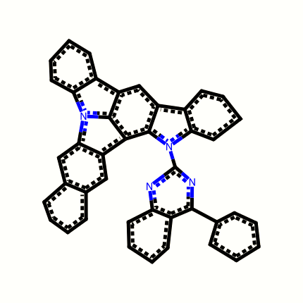 c1ccc(-c2nc(-n3c4ccccc4c4cc5c6ccccc6n6c7cc8ccccc8cc7c(c43)c56)nc3ccccc23)cc1